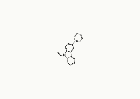 C=Cn1c2ccccc2c2cc(-c3ccccc3)ccc21